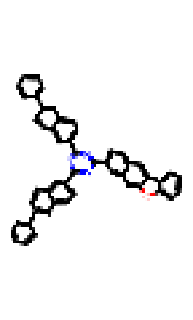 c1ccc(-c2ccc3cc(-c4nc(-c5ccc6cc(-c7ccccc7)ccc6c5)nc(-c5ccc6cc7c(cc6c5)oc5ccccc57)n4)ccc3c2)cc1